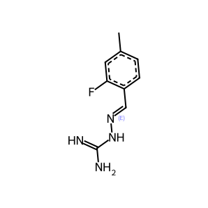 Cc1ccc(/C=N/NC(=N)N)c(F)c1